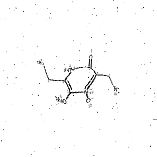 COc1c(CC(C)(C)C)[nH]c(=O)c(CC(C)C)[n+]1[O-]